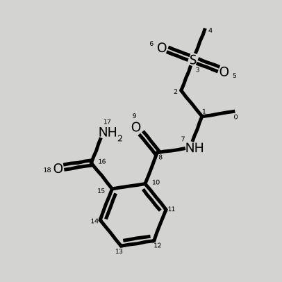 CC(CS(C)(=O)=O)NC(=O)c1ccccc1C(N)=O